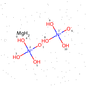 [MgH2].[O-][N+](O)(O)O.[O-][N+](O)(O)O